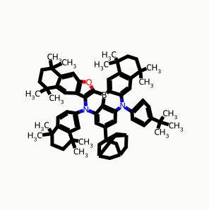 CC(C)(C)c1ccc(N2c3cc4c(cc3B3c5oc6cc7c(cc6c5N(c5ccc6c(c5)C(C)(C)CCC6(C)C)c5cc(C68CC9CC(CC(C9)C6)C8)cc2c53)C(C)(C)CCC7(C)C)C(C)(C)CCC4(C)C)cc1